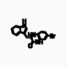 O=C1Nc2cc(Br)ccc2N[C@H]1Cc1c[nH]c2ccccc12